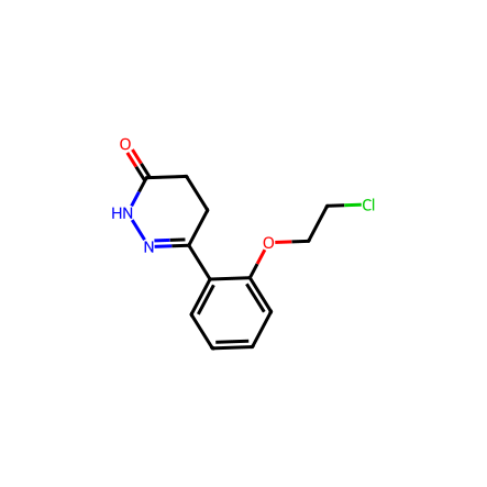 O=C1CCC(c2ccccc2OCCCl)=NN1